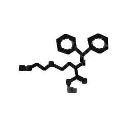 COCCOCCC(N=C(c1ccccc1)c1ccccc1)C(=O)OC(C)(C)C